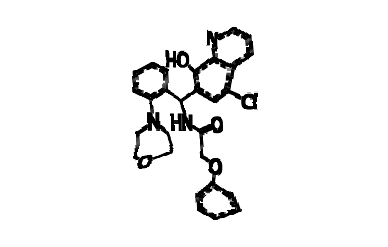 O=C(COc1ccccc1)NC(c1ccccc1N1CCOCC1)c1cc(Cl)c2cccnc2c1O